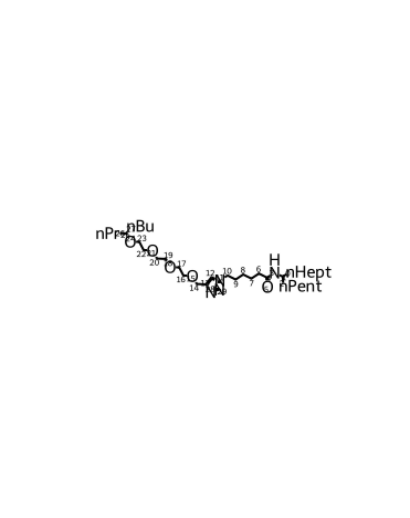 CCCCCCCC(CCCCC)NC(=O)CCCCCn1cc(COCCOCCOCCOC(CCC)CCCC)nn1